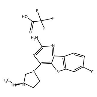 CN[C@@H]1CCN(c2nc(N)nc3c2sc2cc(Cl)ccc23)C1.O=C(O)C(F)(F)F